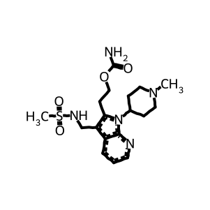 CN1CCC(n2c(CCOC(N)=O)c(CNS(C)(=O)=O)c3cccnc32)CC1